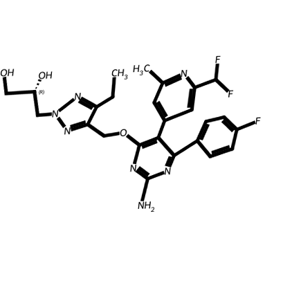 CCc1nn(C[C@@H](O)CO)nc1COc1nc(N)nc(-c2ccc(F)cc2)c1-c1cc(C)nc(C(F)F)c1